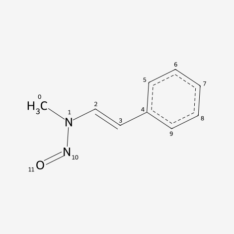 CN(/C=C/c1ccccc1)N=O